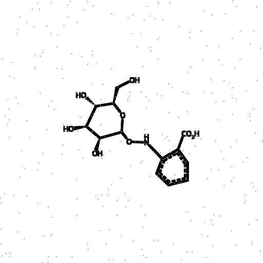 O=C(O)c1ccccc1NOC1O[C@H](CO)[C@@H](O)[C@H](O)[C@@H]1O